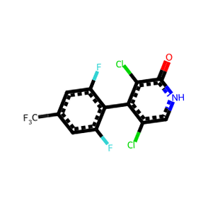 O=c1[nH]cc(Cl)c(-c2c(F)cc(C(F)(F)F)cc2F)c1Cl